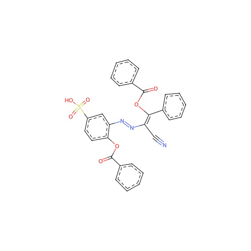 N#CC(N=Nc1cc(S(=O)(=O)O)ccc1OC(=O)c1ccccc1)=C(OC(=O)c1ccccc1)c1ccccc1